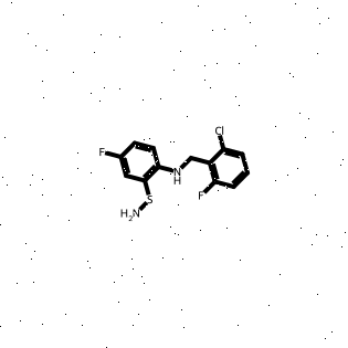 NSc1cc(F)ccc1NCc1c(F)cccc1Cl